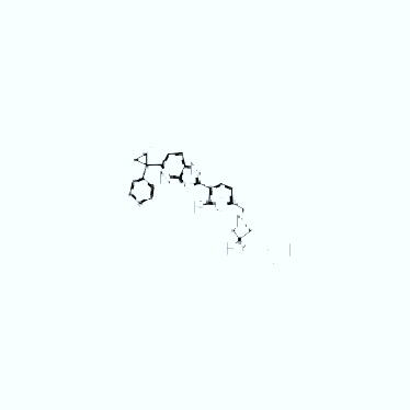 O=C(O)C1(F)CN(Cc2ccc(-c3nc4ccc(C5(c6ccccc6)CC5)nc4s3)c(F)c2)C1